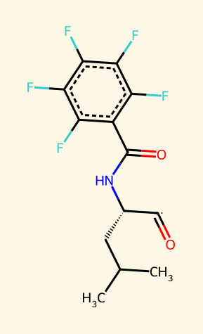 CC(C)C[C@@H]([C]=O)NC(=O)c1c(F)c(F)c(F)c(F)c1F